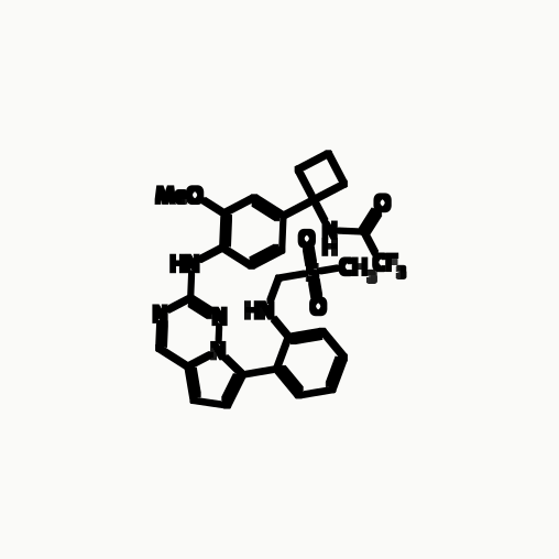 COc1cc(C2(NC(=O)C(F)(F)F)CCC2)ccc1Nc1ncc2ccc(-c3ccccc3NCS(C)(=O)=O)n2n1